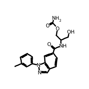 Cc1cccc(-n2ncc3ccc(C(=O)NC(CO)COC(N)=O)cc32)c1